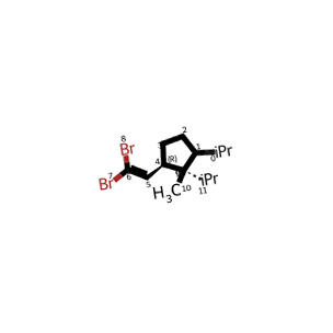 CC(C)C1CC[C@H](C=C(Br)Br)[C@@]1(C)C(C)C